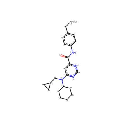 CC(=O)NCc1ccc(NC(=O)c2cc(N(CC3CC3)C3CCCCC3)ncn2)cc1